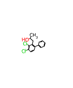 CC(O)Cc1c(-c2ccccc2)ccc(Cl)c1Cl